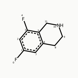 Fc1cc(F)c2c(c1)CCNC2